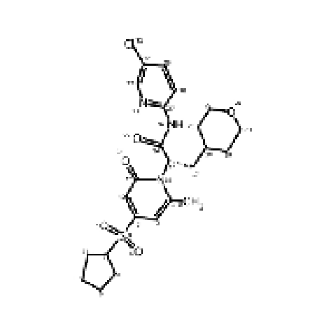 Cc1cc(S(=O)(=O)C2CCCC2)cc(=O)n1[C@@H](CC1CCOCC1)C(=O)Nc1ccc(Cl)cn1